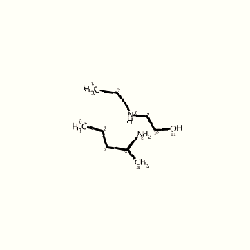 CCCC(C)N.CCNCCO